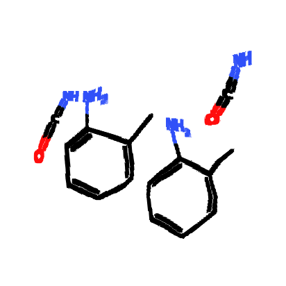 Cc1ccccc1N.Cc1ccccc1N.N=C=O.N=C=O